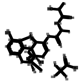 CC(O)C(=O)NC(C)C(=O)OC1=CC[C@@]2(O)[C@H]3Cc4ccc(O)c5c4[C@@]2(CCN3C)[C@H]1O5.O=C(O)C(F)(F)F